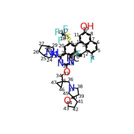 C#Cc1c(F)ccc2cc(O)cc(-c3c(SC(F)(F)F)cc4c(N5CC6CCC(C5)N6)nc(OCC5(CN6CCC7(CCCO7)C6)CC5)nc4c3F)c12